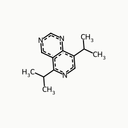 CC(C)c1ncc(C(C)C)c2ncncc12